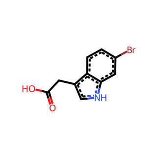 O=C(O)Cc1c[nH]c2cc(Br)ccc12